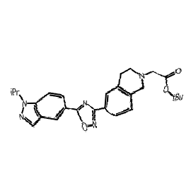 CC(C)n1ncc2cc(-c3nc(-c4ccc5c(c4)CCN(CC(=O)OC(C)(C)C)C5)no3)ccc21